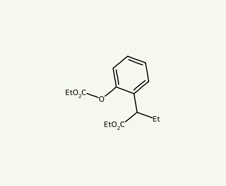 CCOC(=O)Oc1ccccc1C(CC)C(=O)OCC